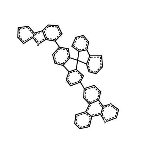 c1ccc2c(c1)-c1ccccc1C21c2cc(-c3ccc4c(c3)c3ccccc3c3nccnc43)ccc2-c2ccc(-c3cccc4c3sc3ccccc34)cc21